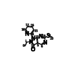 CCn1c(=O)c2cnc(SC)nc2n1-c1ccccn1